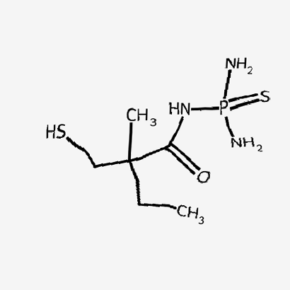 CCC(C)(CS)C(=O)NP(N)(N)=S